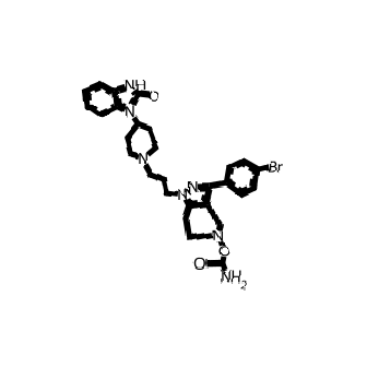 NC(=O)ON1CCc2c(c(-c3ccc(Br)cc3)nn2CCCN2CCC(n3c(=O)[nH]c4ccccc43)CC2)C1